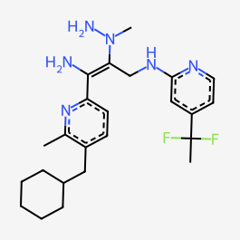 Cc1nc(/C(N)=C(\CNc2cc(C(C)(F)F)ccn2)N(C)N)ccc1CC1CCCCC1